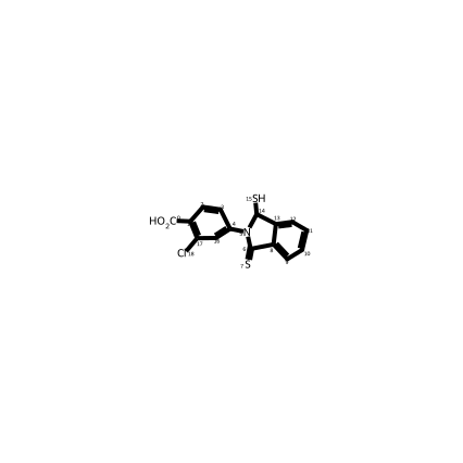 O=C(O)c1ccc(N2C(=S)c3ccccc3C2S)cc1Cl